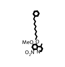 COc1cc([N+](=O)[O-])c2nccc(C)c2c1OCCCCCCCCCc1ccccc1